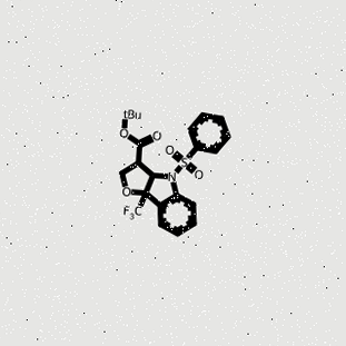 CC(C)(C)OC(=O)C1COC2(C(F)(F)F)c3ccccc3N(S(=O)(=O)c3ccccc3)C12